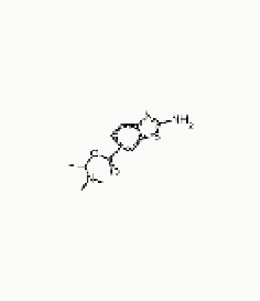 CC(OC(=O)c1ccc2nc(N)sc2c1)N(C)C